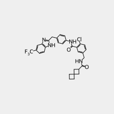 O=C(Nc1ccc(Cc2nc3cc(C(F)(F)F)ccc3[nH]2)cc1)c1cc(CNC(=O)C2CC3(CCC3)C2)ccc1Cl